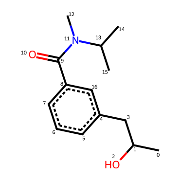 CC(O)Cc1cccc(C(=O)N(C)C(C)C)c1